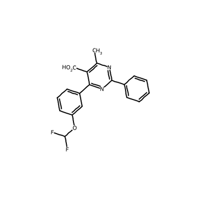 Cc1nc(-c2ccccc2)nc(-c2cccc(OC(F)F)c2)c1C(=O)O